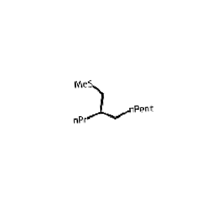 CCCCCCC(CCC)CSC